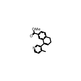 COC(=O)c1ccc2c(c1)C(c1cnccc1C)=CCC2